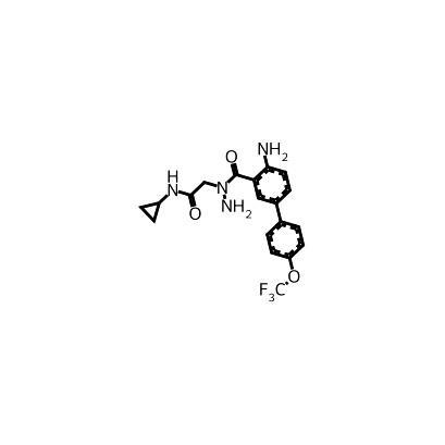 Nc1ccc(-c2ccc(OC(F)(F)F)cc2)cc1C(=O)N(N)CC(=O)NC1CC1